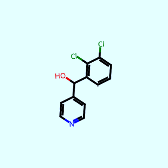 OC(c1ccncc1)c1[c]ccc(Cl)c1Cl